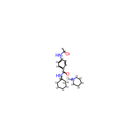 CC(=O)Nc1ccc(C(=O)N[C@@H]2CCCC[C@H]2CN2CCCCC2)cc1